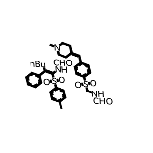 CCCCC(=C(NC=O)S(=O)(=O)c1ccc(C)cc1)c1ccccc1.CN1CCC(=Cc2ccc(S(=O)(=O)CNC=O)cc2)CC1